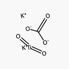 O=C([O-])[O-].[K+].[K+].[O]=[Ti]=[O]